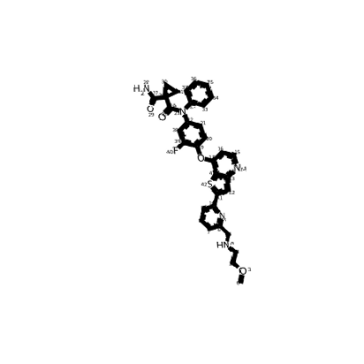 COCCNCc1cccc(-c2cc3nccc(Oc4ccc(N(C(=O)C5(C(N)=O)CC5)c5ccccc5)cc4F)c3s2)n1